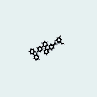 CCc1cc(C)cc2nc(-c3ccc(-c4ccccc4-c4ccccc4-c4ccc(-n5c6ccccc6c6ccccc65)cc4)cc3)oc12